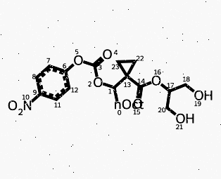 CCCCCCCCC(OC(=O)Oc1ccc([N+](=O)[O-])cc1)C1(C(=O)OC(CO)CO)CC1